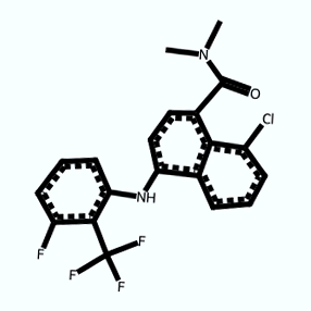 CN(C)C(=O)c1ccc(Nc2cccc(F)c2C(F)(F)F)c2cccc(Cl)c12